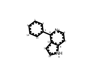 c1ccc(-c2nccc3[nH]ccc23)cc1